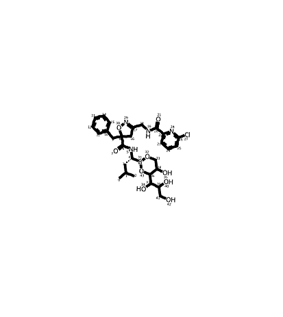 CC(C)C[C@H](NC(=O)C1(Cc2ccccc2)CC(CNC(=O)c2cccc(Cl)n2)=NO1)B1OCC(O)C(C(O)C(O)CO)O1